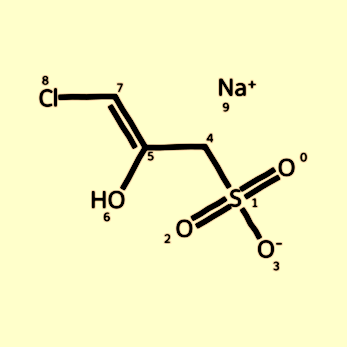 O=S(=O)([O-])CC(O)=CCl.[Na+]